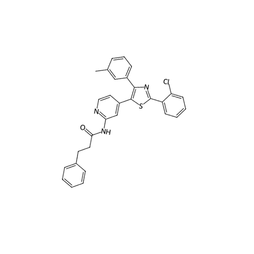 Cc1cccc(-c2nc(-c3ccccc3Cl)sc2-c2ccnc(NC(=O)CCc3ccccc3)c2)c1